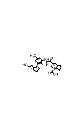 Cc1nc(NNC(=O)[C@@H](CNC(=O)O)CC2CCCC2)c(F)c(N2CCC[C@H]2CCO)n1